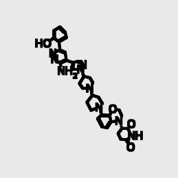 Nc1nnc(-c2ccccc2O)cc1-c1cnn(C2CCN(C3CCN(c4cccc5c4OCCN5[C@H]4CCC(=O)NC4=O)CC3)CC2)c1